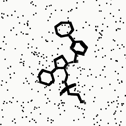 NCCS(=O)(=O)NC[C@@H]1[C@@H](Nc2nccc(N3CCCCCC3)n2)CCN1C1CCCCC1